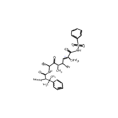 CNC(C(=O)NC(C(=O)N(C)C(/C=C(\C)C(=O)NS(=O)(=O)c1ccccc1)C(C)C)C(C)(C)C)C(C)(C)c1ccccc1